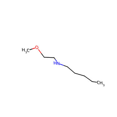 CCCCCNCCOC